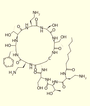 CCCCCCCC(=O)N[C@@H](CCN)C(=O)N[C@H](C(=O)NC(CO)C(=O)N[C@H]1CCNC(=O)[C@H]([C@@H](C)O)NC(=O)[C@H](CO)NC(=O)[C@H](CCN)NC(=O)[C@H]([C@@H](C)O)NC(O)[C@@H](Cc2ccccc2)NC(=O)[C@H](CCN)NC1=O)[C@@H](C)O